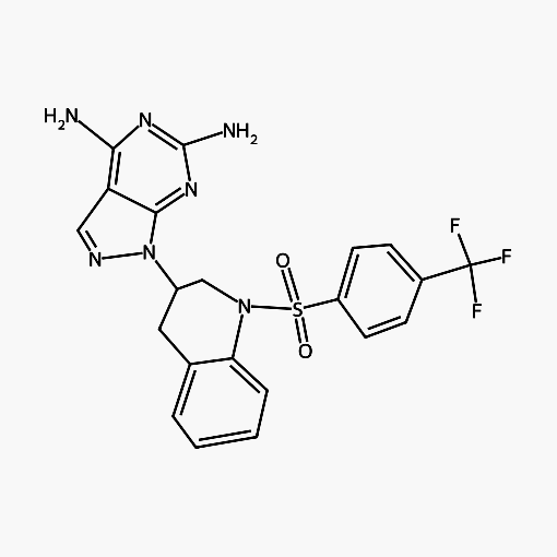 Nc1nc(N)c2cnn(C3Cc4ccccc4N(S(=O)(=O)c4ccc(C(F)(F)F)cc4)C3)c2n1